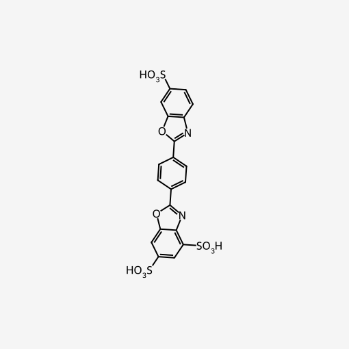 O=S(=O)(O)c1ccc2nc(-c3ccc(-c4nc5c(S(=O)(=O)O)cc(S(=O)(=O)O)cc5o4)cc3)oc2c1